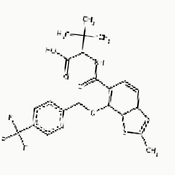 CC1=CC2C=CC(C(=O)NC(C(=O)O)C(C)(C)C)=C(OCc3ccc(C(F)(F)F)cc3)C2S1